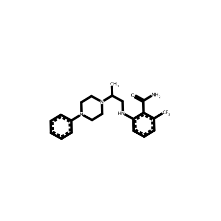 CC(CNc1cccc(C(F)(F)F)c1C(N)=O)N1CCN(c2ccccc2)CC1